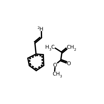 C=C(C)C(=O)OC.[2H]/C=C/c1ccccc1